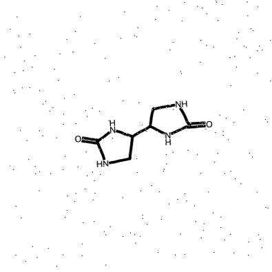 O=C1NCC(C2CNC(=O)N2)N1